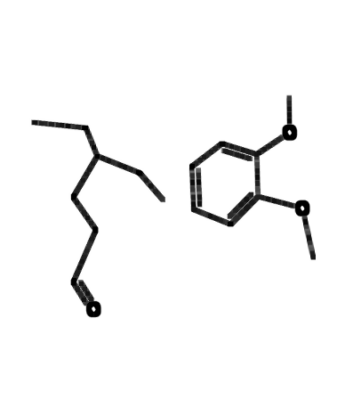 CCC(CC)CCC=O.COc1ccccc1OC